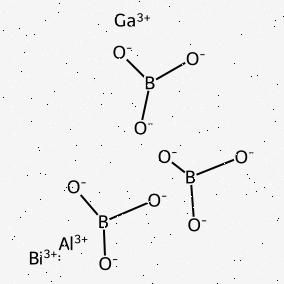 [Al+3].[Bi+3].[Ga+3].[O-]B([O-])[O-].[O-]B([O-])[O-].[O-]B([O-])[O-]